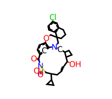 O=C1NS(=O)(=O)CC(C2CC2)C/C=C/[C@H](O)C2CCC2CN2CC3(CCCc4cc(Cl)ccc43)COc3ccc1cc32